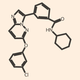 O=C(NC1CCCCC1)c1cccc(-c2cnc3ccc(Oc4cccc(Cl)c4)nn23)c1